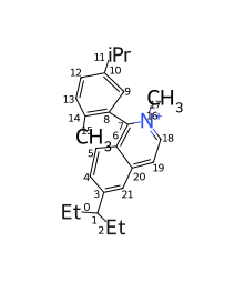 CCC(CC)c1ccc2c(-c3cc(C(C)C)ccc3C)[n+](C)ccc2c1